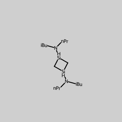 CCCN(C(C)CC)[SiH]1C[SiH](N(CCC)C(C)CC)C1